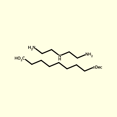 CCCCCCCCCCCCCCCCCC(=O)O.NCCNCCN